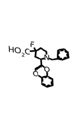 O=C(O)C1(F)CCN(Cc2ccccc2)C(C2=COc3ccccc3O2)C1